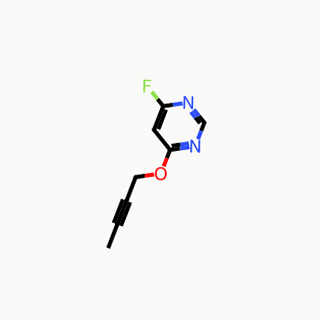 CC#CCOc1cc(F)ncn1